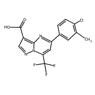 Cc1cc(-c2cc(C(F)(F)F)n3ncc(C(=O)O)c3n2)ccc1Cl